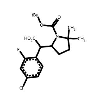 CC(C)(C)OC(=O)N1C(C(C(=O)O)c2ccc(Cl)cc2F)CCC1(C)C